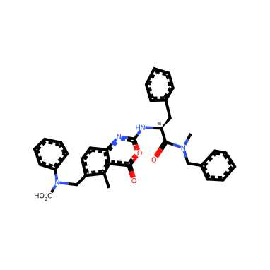 Cc1c(CN(C(=O)O)c2ccccc2)ccc2nc(N[C@@H](Cc3ccccc3)C(=O)N(C)Cc3ccccc3)oc(=O)c12